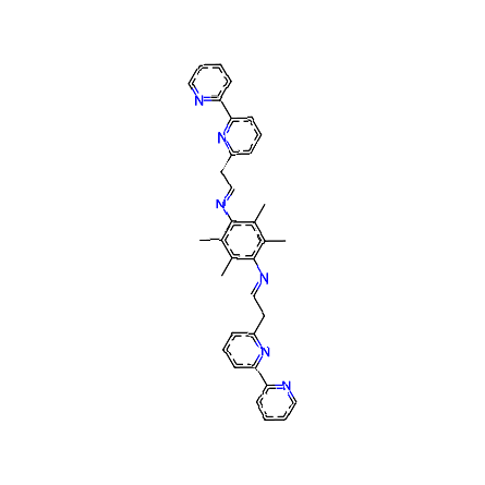 Cc1c(C)c(N=CCc2cccc(-c3ccccn3)n2)c(C)c(C)c1N=CCc1cccc(-c2ccccn2)n1